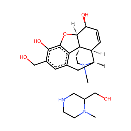 CN1CCNCC1CO.CN1CC[C@]23c4c5cc(CO)c(O)c4O[C@H]2[C@@H](O)C=C[C@H]3[C@H]1C5